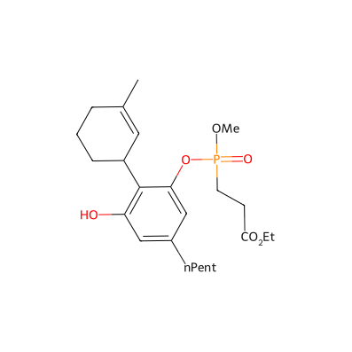 CCCCCc1cc(O)c(C2C=C(C)CCC2)c(OP(=O)(CCC(=O)OCC)OC)c1